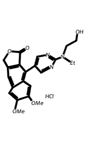 CCN(CCO)c1ncc(-c2c3c(cc4cc(OC)c(OC)cc24)COC3=O)cn1.Cl